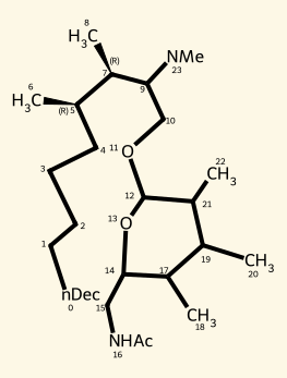 CCCCCCCCCCCCCC[C@@H](C)[C@@H](C)C(COC1OC(CNC(C)=O)C(C)C(C)C1C)NC